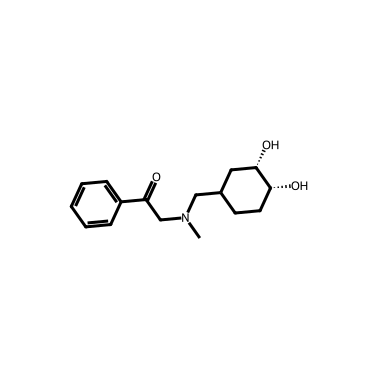 CN(CC(=O)c1ccccc1)CC1CC[C@@H](O)[C@@H](O)C1